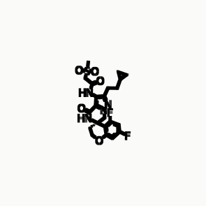 CS(=O)(=O)CC(=O)Nc1c(CCC2CC2)nn2c1C(=O)N[C@@]1(CCOc3cc(F)cc(F)c31)C2